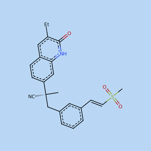 CCc1cc2ccc([C@](C)(C#N)Cc3cccc(/C=C/S(C)(=O)=O)c3)cc2[nH]c1=O